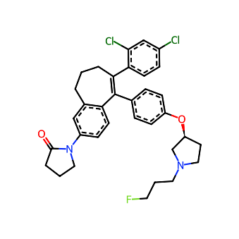 O=C1CCCN1c1ccc2c(c1)CCCC(c1ccc(Cl)cc1Cl)=C2c1ccc(O[C@H]2CCN(CCCF)C2)cc1